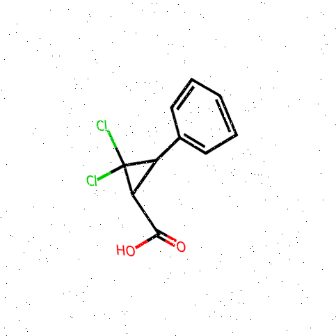 O=C(O)C1C(c2ccccc2)C1(Cl)Cl